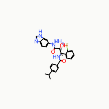 CC(C)c1ccc(C(=O)N[C@@H](c2ccccc2F)[C@@H](O)C(=O)N(N)c2ccc3nc[nH]c3c2)cc1